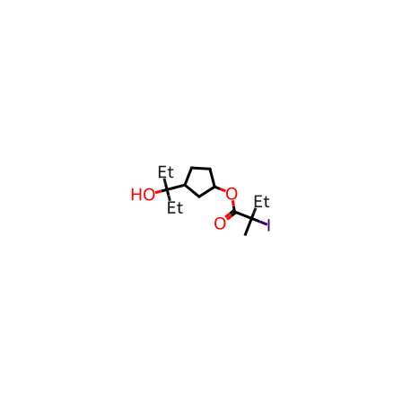 CCC(C)(I)C(=O)OC1CCC(C(O)(CC)CC)C1